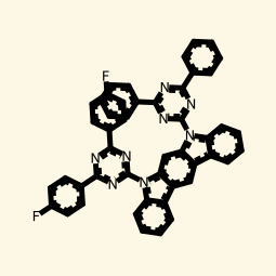 Fc1ccc(-c2nc(-c3ccc(F)cc3)nc(-n3c4ccccc4c4cc5c6ccccc6n(-c6nc(-c7ccccc7)nc(-c7ccccc7)n6)c5cc43)n2)cc1